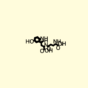 NC(CCC(=O)NC(Cc1c[nH]c2ccc(O)cc12)C(=O)O)C(=O)O